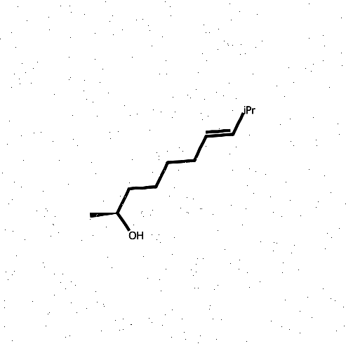 CC(C)/C=C/CCCC[C@H](C)O